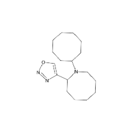 c1onnc1C1CCCCCCN1C1CCCCCCC1